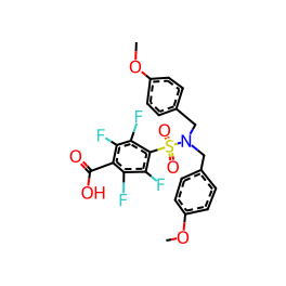 COc1ccc(CN(Cc2ccc(OC)cc2)S(=O)(=O)c2c(F)c(F)c(C(=O)O)c(F)c2F)cc1